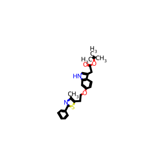 Cc1nc(-c2ccccc2)sc1CCOc1ccc2c(CC(=O)OC(C)(C)C)c[nH]c2c1